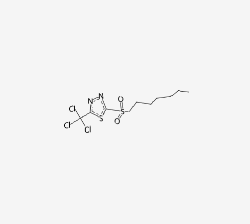 CCCCCCCS(=O)(=O)c1nnc(C(Cl)(Cl)Cl)s1